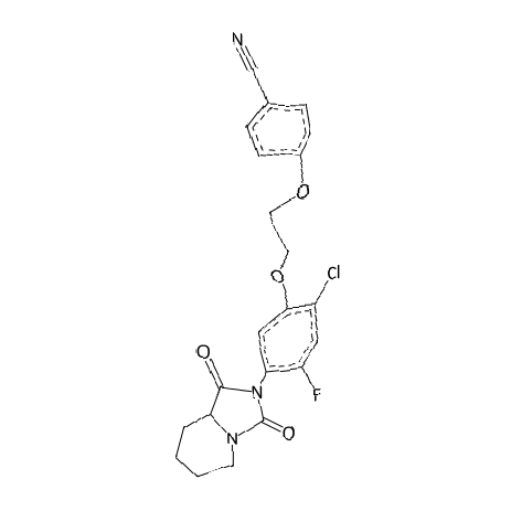 N#Cc1ccc(OCCOc2cc(N3C(=O)C4CCCCN4C3=O)c(F)cc2Cl)cc1